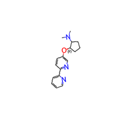 CN(C)C1CCC[C@H]1Oc1ccc(-c2ccccn2)nc1